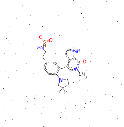 Cn1cc(-c2cc(CCN[SH](=O)=O)ccc2N2CCC3(CC3)C2)c2cc[nH]c2c1=O